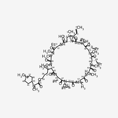 C/C=C/C[C@@H](C)[C@@H](O)[C@H]1C(=O)N[C@@H](CC)C(=O)N(C)[C@H](C)C(=O)N(C)[C@@H]([C@H](C)CCCOC(=O)N(C)C2CCN(C)CC2)C(=O)N[C@@H](C(C)C)C(=O)N(C)[C@@H](CC(C)C)C(=O)N[C@@H](C)C(=O)N[C@H](C)C(=O)N(C)[C@@H](CC(C)C)C(=O)N(C)[C@@H](CC(C)C)C(=O)N(C)[C@@H](C(C)C)C(=O)N1C